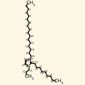 CCCCCCCCCCCCCCCCC[n+]1ccn(CCC)c1CCCCCCCCC